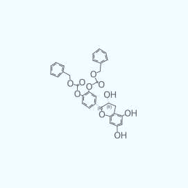 O=C(OCc1ccccc1)Oc1ccc([C@H]2Oc3cc(O)cc(O)c3C[C@H]2O)cc1OC(=O)OCc1ccccc1